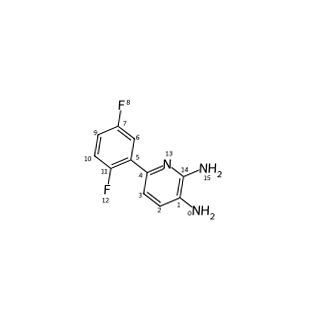 Nc1ccc(-c2cc(F)ccc2F)nc1N